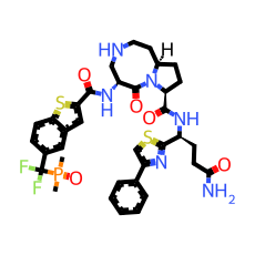 CP(C)(=O)C(F)(F)c1ccc2sc(C(=O)N[C@H]3CNCC[C@H]4CC[C@@H](C(=O)N[C@@H](CCC(N)=O)c5nc(-c6ccccc6)cs5)N4C3=O)cc2c1